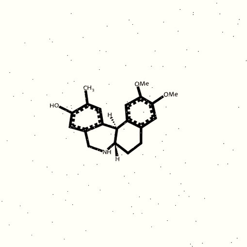 COc1cc2c(cc1OC)[C@@H]1c3cc(C)c(O)cc3CN[C@H]1CC2